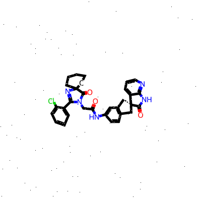 O=C(CN1C(=O)C2(CCCCC2)N=C1c1ccccc1Cl)Nc1ccc2c(c1)C[C@@]1(C2)C(=O)Nc2ncccc21